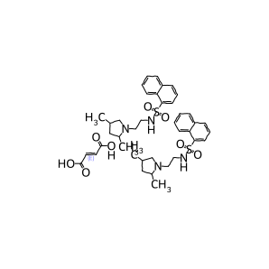 CC1CC(C)N(CCNS(=O)(=O)c2cccc3ccccc23)C1.CC1CC(C)N(CCNS(=O)(=O)c2cccc3ccccc23)C1.O=C(O)/C=C/C(=O)O